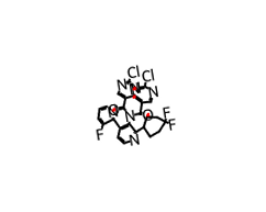 O=C(c1cnc(Cl)nc1)N(C(=O)c1cnc(Cl)nc1)c1c(-c2ncccc2F)ccnc1C1CCC(F)(F)CC1